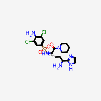 Nc1c(Cl)cc(S(=O)(=O)N[C@@H](CCC(N)c2ncc[nH]2)C(=O)N2CCCCC2)cc1Cl